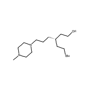 CN1CCN(CCC[C@H](CCO)CCC(C)(C)C)CC1